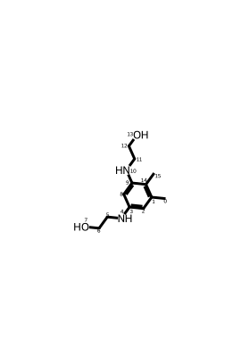 Cc1cc(NCCO)cc(NCCO)c1C